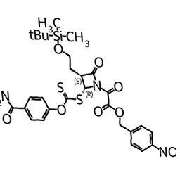 CC(C)(C)[Si](C)(C)OCC[C@H]1C(=O)N(C(=O)C(=O)OCc2ccc([N+](=O)[O-])cc2)[C@@H]1SC(=S)Oc1ccc(C(N)=O)cc1